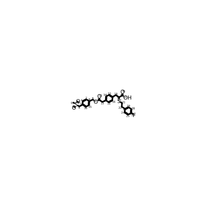 CS(=O)(=O)Cc1ccc(COC(=O)Cc2ccc(CC(SCCc3ccc(F)cc3)C(=O)O)cc2)cc1